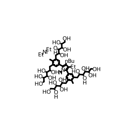 CCCCC1=C(c2cc(CC(O)C(O)C(O)C(O)CO)c(C)c(CC(O)C(O)C(O)C(O)CO)c2)[N+](=[N-])C(c2cc(CC(O)C(O)C(O)C(O)CO)c(C)c(CC(O)C(O)C(O)C(O)CO)c2)=C1CC.C[CH2][Ni][CH2]C